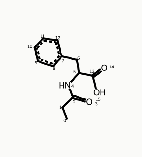 C[CH]C(=O)NC(Cc1ccccc1)C(=O)O